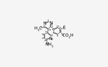 Cc1ncnc(-c2ccc(C(=O)O)c(F)c2)c1-c1ccc(N)nc1